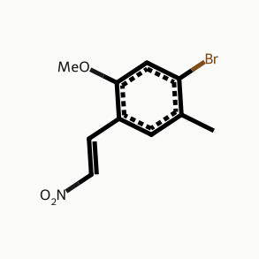 COc1cc(Br)c(C)cc1/C=C/[N+](=O)[O-]